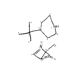 CC(C)(C)N1CCNCC1.CC12N=CC1=N2